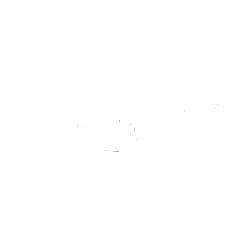 COC(=O)COc1ccc(C)c(NC(C)C(=O)O)c1